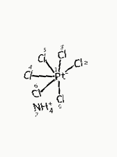 [Cl][Pt-]([Cl])([Cl])([Cl])([Cl])[Cl].[NH4+]